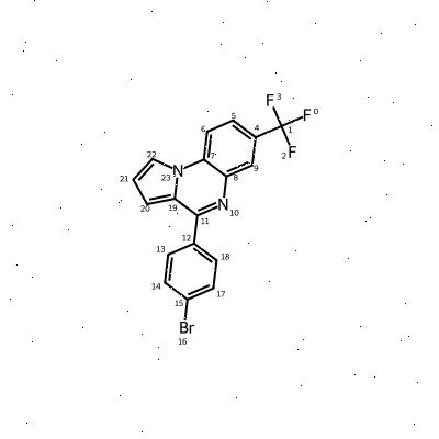 FC(F)(F)c1ccc2c(c1)nc(-c1ccc(Br)cc1)c1cccn12